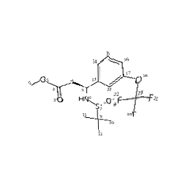 COC(=O)C[C@H](N[S@+]([O-])C(C)(C)C)c1cccc(OC(F)(F)F)c1